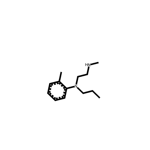 CCCN(CCNC)c1ccccc1C